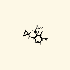 CCOC(=O)C1(Oc2ncc(Br)c(C)c2NOC)CC1